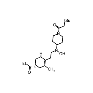 CCC(=O)[C@@H]1CNC(CCN(O)C2CCN(C(=O)CC(C)(C)C)CC2)=C(C)C1